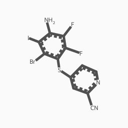 N#Cc1cc(Sc2c(F)c(F)c(N)c(I)c2Br)ccn1